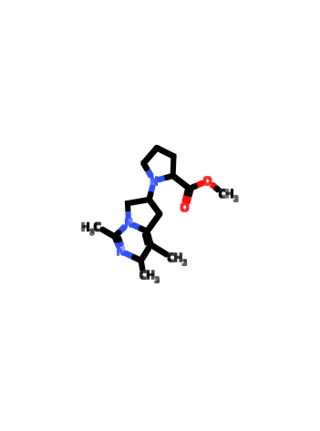 COC(=O)C1CCCN1C1CC2=C(C)C(C)N=C(C)N2C1